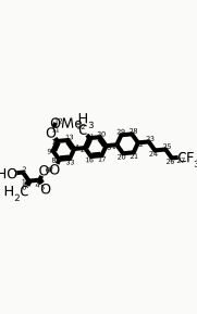 C=C(CO)C(=O)OOc1cc(OOC)cc(-c2ccc(C3CCC(CCCCC(F)(F)F)CC3)cc2C)c1